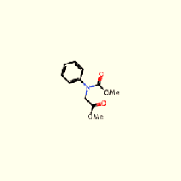 COC(=O)CN(C(=O)OC)c1ccccc1